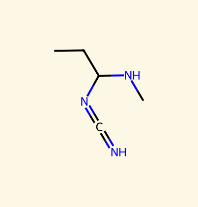 CCC(N=C=N)NC